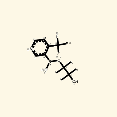 CC(C)(O)C(C)(C)OB(O)c1cnccc1C(F)(F)F